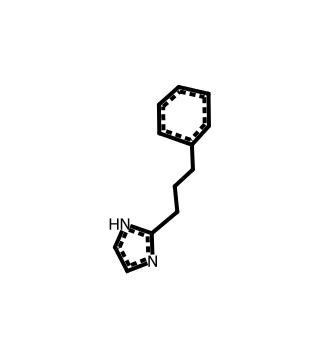 c1ccc(CCCc2ncc[nH]2)cc1